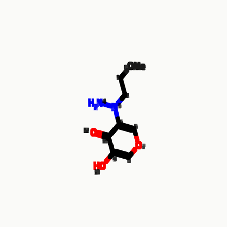 COCCN(N)c1cocc(O)c1=O